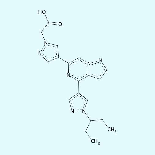 CCC(CC)n1cc(-c2nc(-c3cnn(CC(=O)O)c3)cn3nccc23)cn1